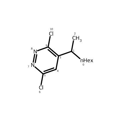 CCCCCCC(C)c1cc(Cl)nnc1Cl